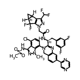 Cn1nc(NS(C)(=O)=O)c2c(Cl)ccc(N3Cc4ccc(-c5cnccn5)cc4N=C3[C@H](Cc3cc(F)cc(F)c3)NC(=O)Cn3nc(C(F)F)c4c3C(F)(F)[C@@H]3C[C@H]43)c21